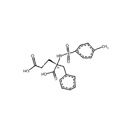 Cc1ccc(S(=O)(=O)N[C@](CCC(=O)O)(Cc2ccccc2)C(=O)O)cc1